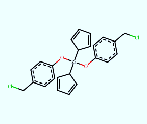 ClCc1ccc([O][Zr]([O]c2ccc(CCl)cc2)([CH]2C=CC=C2)[CH]2C=CC=C2)cc1